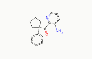 Nc1cccnc1C(=O)C1(c2ccccc2)CCCC1